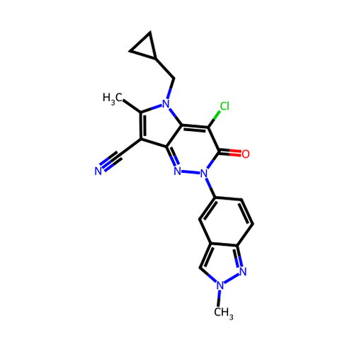 Cc1c(C#N)c2nn(-c3ccc4nn(C)cc4c3)c(=O)c(Cl)c2n1CC1CC1